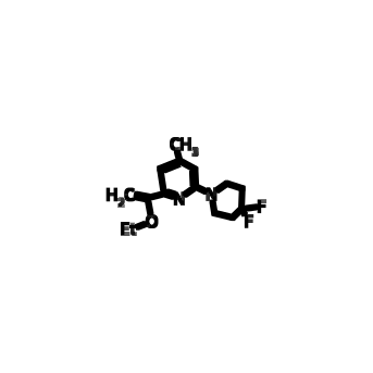 C=C(OCC)c1cc(C)cc(N2CCC(F)(F)CC2)n1